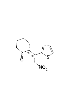 O=C1CCCC[C@@H]1[C@@H](C[N+](=O)[O-])c1cccs1